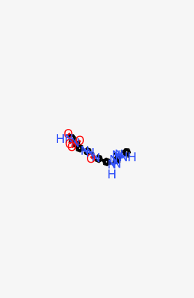 Cc1cccc(C)c1Nc1nn(C)c2nc(Nc3ccc(C4CCN(C(=O)CN5CCN(c6ccc7c(c6)C(=O)N(C6CCC(=O)NC6=O)C7=O)CC5)CC4)cc3)ncc12